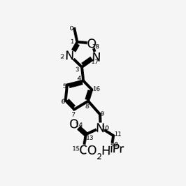 Cc1nc(-c2cccc(CN(CC(C)C)C(=O)C(=O)O)c2)no1